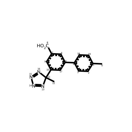 Cc1ccc(-c2cc(C(=O)O)cc(C3(C)N=NN=N3)c2)cc1